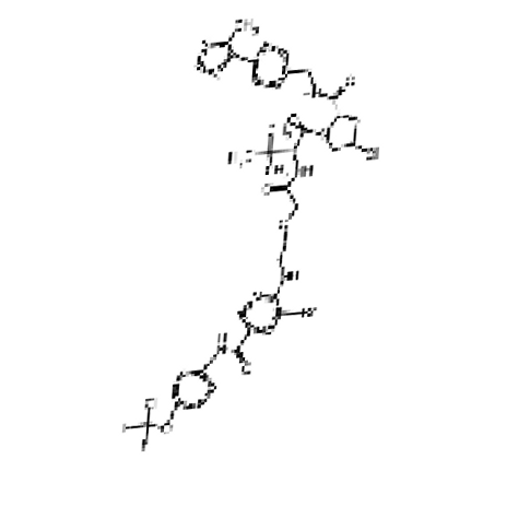 Cc1ncsc1-c1ccc(CNC(=O)[C@@H]2C[C@@H](O)CN2C(=O)C(NC(=O)COCCNc2ncc(C(=O)Nc3ccc(OC(F)(F)Cl)cc3)cc2Br)C(C)(C)C)cc1